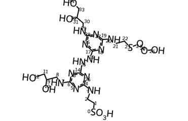 O=S(=O)(O)CCNc1nc(NCC(O)CO)nc(NNc2nc(NCCSOOO)nc(NCC(O)CO)n2)n1